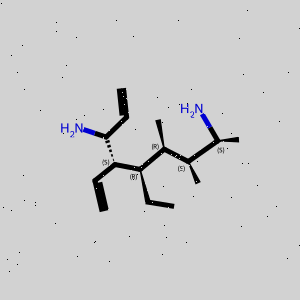 C=CC(N)[C@@H](C=C)[C@H](CC)[C@@H](C)[C@H](C)[C@H](C)N